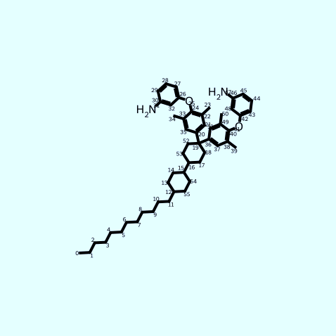 CCCCCCCCCCCCC1CCC(C2CCC(c3cc(C)c(Oc4cccc(N)c4)c(C)c3)(c3cc(C)c(Oc4cccc(N)c4)c(C)c3)CC2)CC1